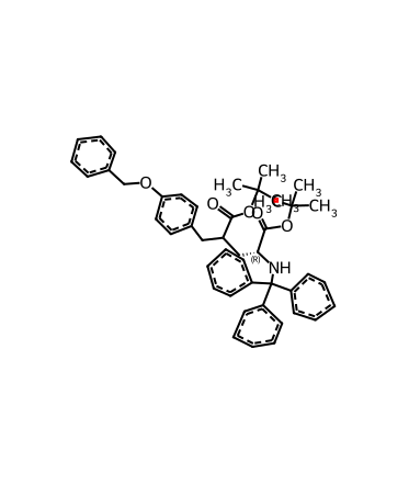 CC(C)(C)OC(=O)C(Cc1ccc(OCc2ccccc2)cc1)C[C@@H](NC(c1ccccc1)(c1ccccc1)c1ccccc1)C(=O)OC(C)(C)C